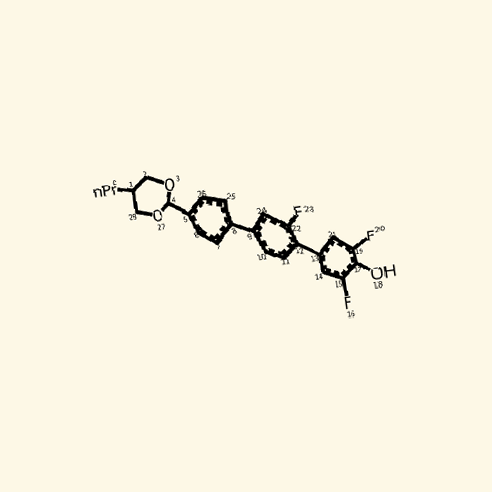 CCCC1COC(c2ccc(-c3ccc(-c4cc(F)c(O)c(F)c4)c(F)c3)cc2)OC1